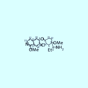 CCC(N)C1(OC)CCC(Oc2cc3ccnc(OC)c3cc2Cl)CC1